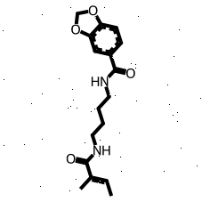 CC=C(C)C(=O)NCCCCNC(=O)c1ccc2c(c1)OCO2